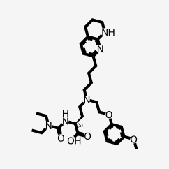 CCN(CC)C(=O)N[C@@H](CCN(CCCCc1ccc2c(n1)NCCC2)CCOc1cccc(OC)c1)C(=O)O